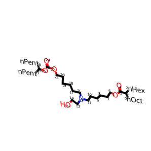 CCCCCCCCC(CCCCCC)C(=O)OCCCCCCN(CCO)CCCCCCOC(=O)OC(CCCCC)CCCCC